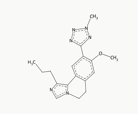 CCCc1ncn2c1-c1cc(-c3nnn(C)n3)c(OC)cc1CC2